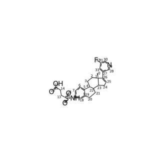 C[C@]12CCC3c4ccc(NS(=O)(=O)CCC(=O)O)cc4CCC3C1CC=C2c1cncc(F)c1